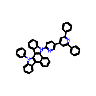 c1ccc(-c2cc(-c3ccc(-n4c5ccccc5c5c4c4ccccc4c4c6ccccc6n(-c6ccccc6)c45)nc3)cc(-c3ccccc3)n2)cc1